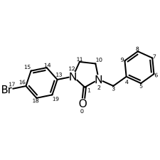 O=C1N(Cc2ccccc2)CCN1c1ccc(Br)cc1